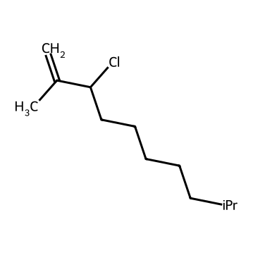 C=C(C)C(Cl)CCCCCC(C)C